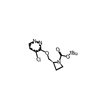 CC(C)(C)OC(=O)N1CC[C@H]1COc1nnccc1Cl